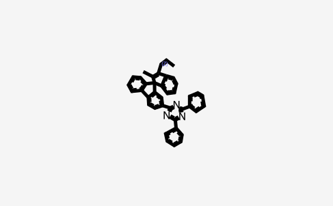 C/C=C\C1=C(C)C2(c3ccccc31)c1ccccc1-c1ccc(-c3nc(-c4ccccc4)nc(-c4ccccc4)n3)cc12